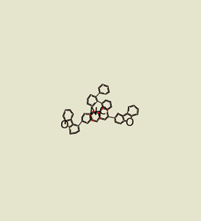 c1ccc(-c2ccccc2-c2c(-c3ccccc3)cccc2N(c2ccc(-c3ccc4oc5ccccc5c4c3)cc2)c2ccc(-c3cccc4oc5ccccc5c34)cc2)cc1